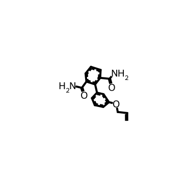 C=CCOc1cccc(-c2c(C(N)=O)cccc2C(N)=O)c1